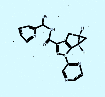 CC(C)(C)C(NC(=O)c1nn(-c2cnccn2)c2c1C[C@@H]1C[C@H]21)c1ccccn1